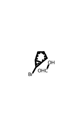 Brc1c2cccc1-2.O=CO